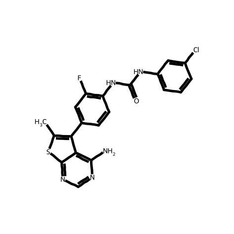 Cc1sc2ncnc(N)c2c1-c1ccc(NC(=O)Nc2cccc(Cl)c2)c(F)c1